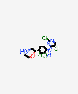 Cl.Clc1ncc(Cl)c(Nc2ccc([C@H]3CNCCO3)cc2)n1